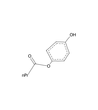 CCCC(=O)Oc1ccc(O)cc1